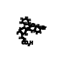 Cc1ccc(N(Cc2ccc(Br)cc2)C(=O)C2CCCCC2)cc1C=CC(=O)O